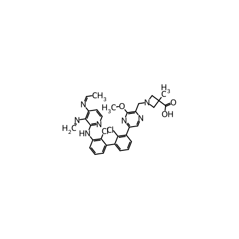 C=Nc1c(/N=C\C)ccnc1Nc1cccc(-c2cccc(-c3cnc(CN4CC(C)(C(=O)O)C4)c(OC)n3)c2Cl)c1Cl